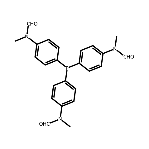 CN(C=O)c1ccc(P(c2ccc(N(C)C=O)cc2)c2ccc(N(C)C=O)cc2)cc1